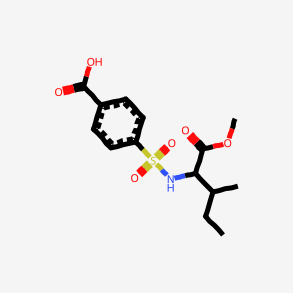 CCC(C)C(NS(=O)(=O)c1ccc(C(=O)O)cc1)C(=O)OC